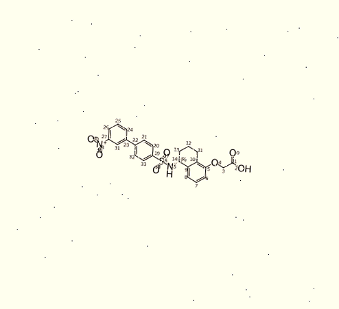 O=C(O)COc1cccc2c1CCC[C@H]2NS(=O)(=O)c1ccc(-c2cccc([N+](=O)[O-])c2)cc1